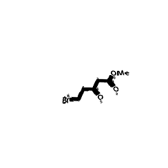 COC(=O)CC(=O)CCBr